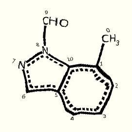 Cc1cccc2cnn(C=O)c12